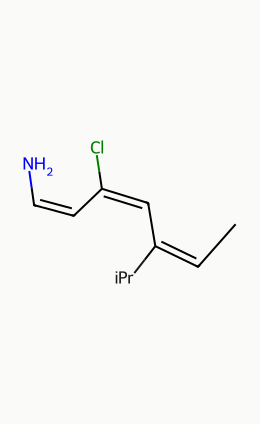 C\C=C(/C=C(Cl)\C=C/N)C(C)C